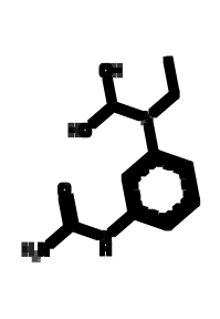 CCN(c1cccc(NC(N)=O)c1)C(O)O